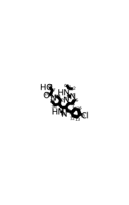 CC(C)Nc1nccc(-c2c(-c3ccc(Cl)cc3)n[nH]c2C2CCN(C(=O)CO)CC2)n1